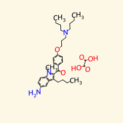 CCCCc1c(C(=O)c2ccc(OCCCN(CCCC)CCCC)cc2)n(C)c2ccc(N)cc12.O=C(O)C(=O)O